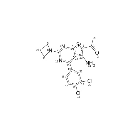 CC(=O)c1sc2nc(N3CCC3)nc(-c3ccc(Cl)c(Cl)c3)c2c1N